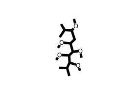 COC(CC(OC)C(OC)C(OC)C(OC)C(C)C)C(C)C